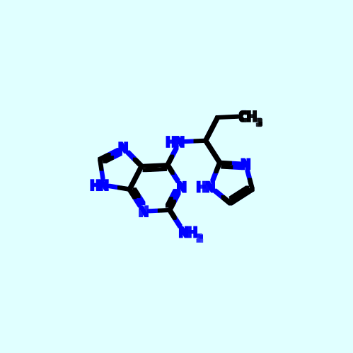 CCC(Nc1nc(N)nc2[nH]cnc12)c1ncc[nH]1